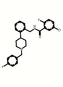 O=C(NCc1ccccc1C1CCN(Cc2ccc(F)cc2)CC1)c1cc(Cl)ccc1F